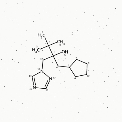 CC(C)(C)C(O)(CC1CCCC1)Cn1cncn1